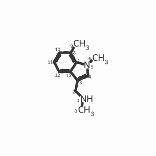 CNCc1cn(C)c2c(C)cccc12